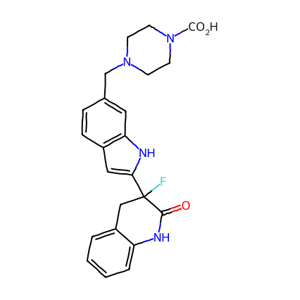 O=C(O)N1CCN(Cc2ccc3cc(C4(F)Cc5ccccc5NC4=O)[nH]c3c2)CC1